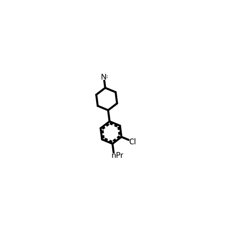 CCCc1ccc(C2CCC([N])CC2)cc1Cl